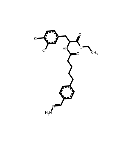 CCOC(=O)C(Cc1ccc(Cl)c(Cl)c1)NC(=O)CCCCc1ccc(C=NN)cc1